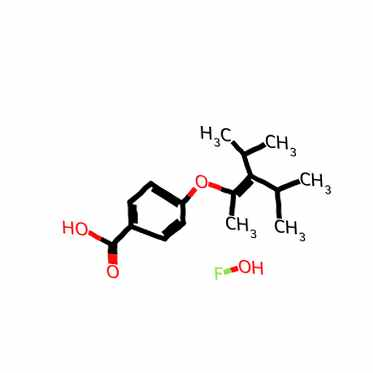 CC(Oc1ccc(C(=O)O)cc1)=C(C(C)C)C(C)C.OF